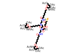 CCC(OC(=O)CCC(=O)CS(#P)=S)C(=O)N(CCCNC(=O)CCCCCCCO[C@@H]1OC(COC(C)=O)[C@H](OC(C)=O)[C@H](OC(C)=O)C1NC(C)=O)CCCN(CCCNC(=O)CCCCCCCO[C@@H]1OC(COC(C)=O)[C@H](OC(C)=O)[C@H](OC(C)=O)C1NC(C)=O)C(=O)CCCCCCCO[C@@H]1OC(COC(C)=O)[C@H](OC(C)=O)[C@H](OC(C)=O)C1NC(C)=O